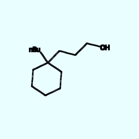 CCCCC1(CCCO)CCCCC1